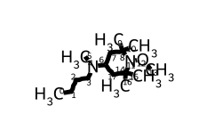 CCCCN(C)C1CC(C)(C)N(OC)C(C)(C)C1